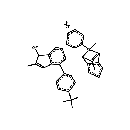 CC1=C2c3ccsc3C1[Si]2(C)c1ccccc1.CC1=Cc2c(-c3ccc(C(C)(C)C)cc3)cccc2[CH]1[Zr+2].[Cl-].[Cl-]